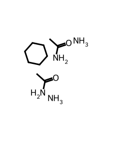 C1CCCCC1.CC(N)=O.CC(N)=O.N.N